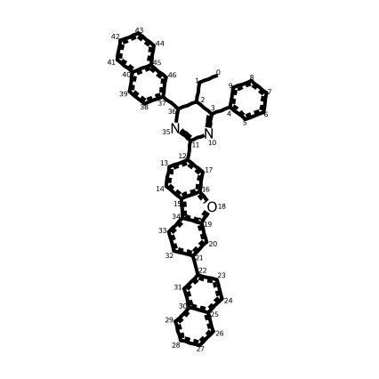 CCC1C(c2ccccc2)=NC(c2ccc3c(c2)oc2cc(-c4ccc5ccccc5c4)ccc23)=NC1c1ccc2ccccc2c1